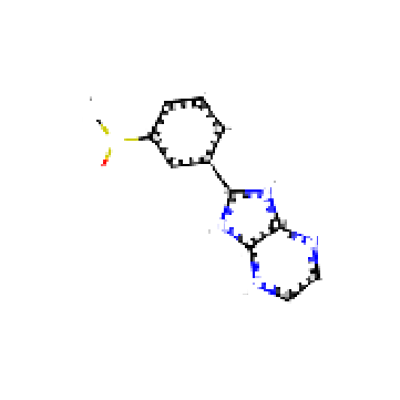 C[S+]([O-])c1cccc(-c2nc3nccnc3[nH]2)c1